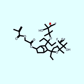 C=C(C)C(=O)OCC(=O)OC1CC2CC1C(C(CC)(CC)OC(C)(C)C(C)(O)C(F)(F)F)C2C(CC)(CC)OC(C)(C)C(C)(O)C(F)(F)F